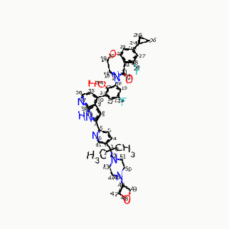 CC(C)(c1ccc(-c2cc3c(-c4cc(F)cc(N5CCOc6cc(C7CC7)cc(F)c6C5=O)c4O)ccnc3[nH]2)nc1)N1CCN(C2COC2)CC1